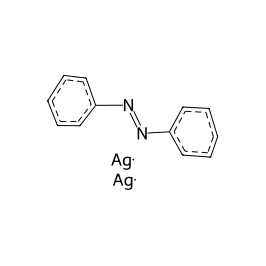 [Ag].[Ag].c1ccc(N=Nc2ccccc2)cc1